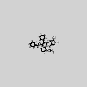 CC1=CCCN=C1N(CC1=CNC(Cl)S1)C(=O)C(C(=O)OCc1ccccc1)C1=CC=CCC1